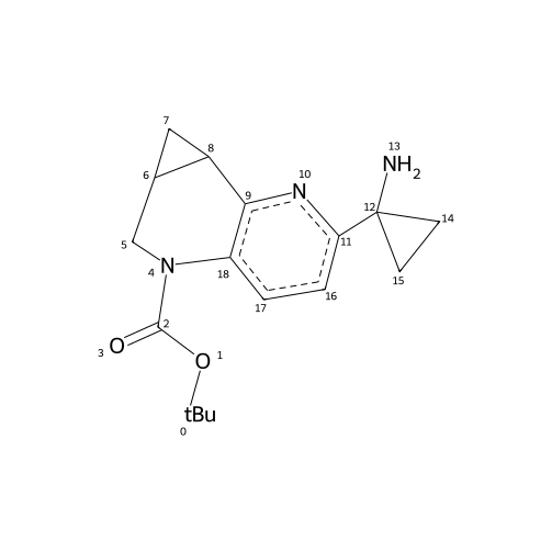 CC(C)(C)OC(=O)N1CC2CC2c2nc(C3(N)CC3)ccc21